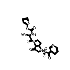 CCCC(NC(=O)Oc1cccs1)C(=O)N1CCC2C1C(=O)CN2S(=O)(=O)C(=O)c1cccnc1